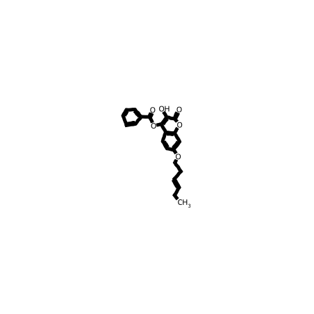 CCC=CCCOc1ccc2c(OC(=O)c3ccccc3)c(O)c(=O)oc2c1